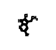 CCc1c(Cl)[nH]c2ncc(Br)cc12